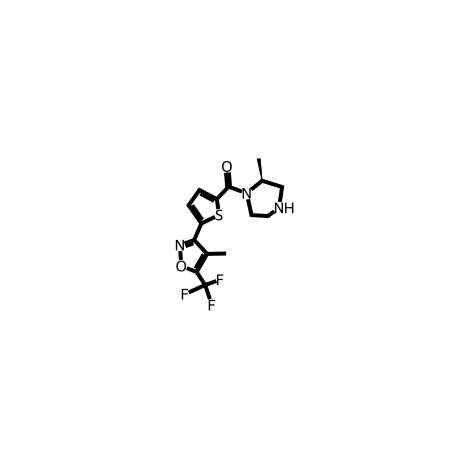 Cc1c(-c2ccc(C(=O)N3CCNC[C@@H]3C)s2)noc1C(F)(F)F